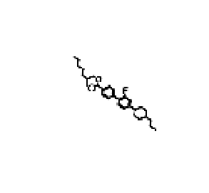 CCCCCC1COC(c2ccc(-c3ccc(C4CCC(CCC)CC4)cc3F)cc2)OC1